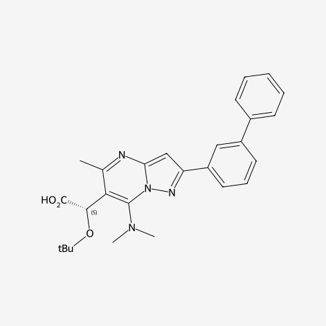 Cc1nc2cc(-c3cccc(-c4ccccc4)c3)nn2c(N(C)C)c1[C@H](OC(C)(C)C)C(=O)O